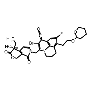 CC[C@@]1(O)C(=O)OCc2c1ccn(CC1=C(Br)C(=C=O)c3cc(F)c(CCOC4CCCCO4)c4c3N1CCC4)c2=O